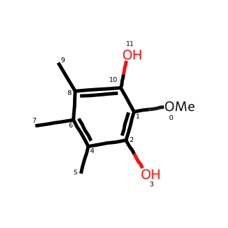 COc1c(O)c(C)c(C)c(C)c1O